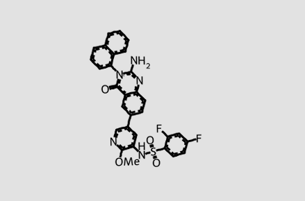 COc1ncc(-c2ccc3nc(N)n(-c4cccc5ccccc45)c(=O)c3c2)cc1NS(=O)(=O)c1ccc(F)cc1F